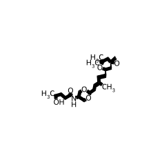 CC(/C=C/[C@@H]1C[C@]2(CO2)CC(C)(C)O1)=C\CC1OCC(NC(=O)CC[C@H](C)O)CO1